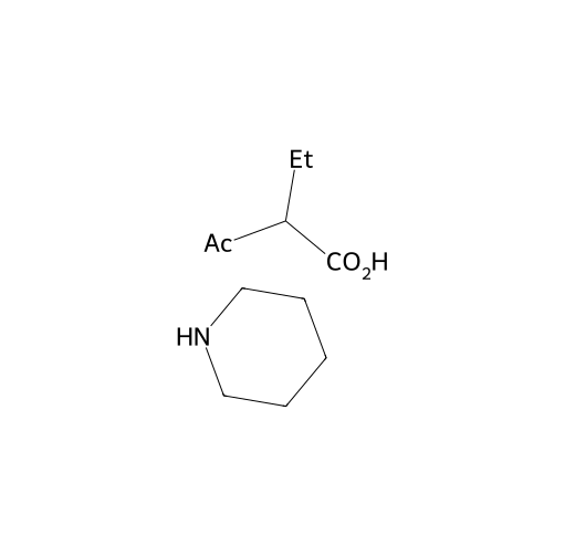 C1CCNCC1.CCC(C(C)=O)C(=O)O